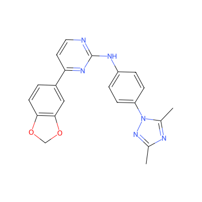 Cc1nc(C)n(-c2ccc(Nc3nccc(-c4ccc5c(c4)OCO5)n3)cc2)n1